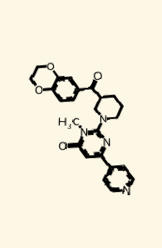 Cn1c(N2CCCC(C(=O)c3ccc4c(c3)OCCO4)C2)nc(-c2ccncc2)cc1=O